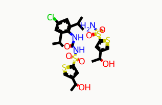 CC(C)c1cc(Cl)cc(C(C)C)c1NC(=O)NS(=O)(=O)c1cc(C(C)O)cs1.CC(O)c1csc(S(N)(=O)=O)c1